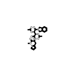 COC(=O)C(Cc1cccs1)NC(=O)[C@H](OC(C)=O)[C@@H](OC(C)=O)C(=O)N1Cc2ccccc2C1